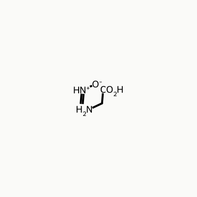 C=[NH+][O-].NCC(=O)O